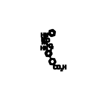 O=C(Nc1ccc([C@H]2CC[C@@H](C(=O)O)CC2)cc1F)c1nnc(Nc2ccccc2)o1